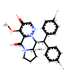 [CH2]CCOc1c2n(ncc1=O)[C@@H](C(c1ccc(F)cc1)c1ccc(F)cc1)[C@H]1CCCN1C2=O